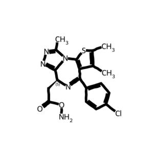 Cc1sc2c(c1C)C(c1ccc(Cl)cc1)=N[C@@H](CC(=O)ON)c1nnc(C)n1-2